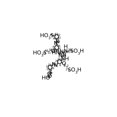 O=S(=O)(O)CCCOc1cc(N=Nc2cccc(SOOO)c2)ccc1Nc1nc(NCCS(=O)(=O)O)nc(Nc2ccc(N=Nc3cccc(S(=O)(=O)O)c3)cc2OCCCS(=O)(=O)O)n1